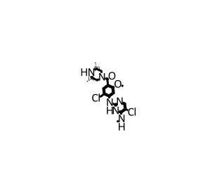 CNc1nc(Nc2cc(OC)c(C(=O)N3C[C@@H](C)N[C@@H](C)C3)cc2Cl)ncc1Cl